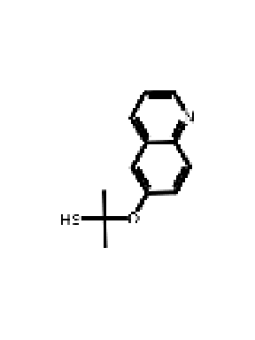 CC(C)(S)Oc1ccc2ncccc2c1